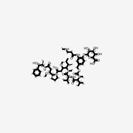 CC[C@@H](C)C(C(CC(=O)N1CCC[C@H]1[C@H](OC)[C@@H](C)C(=O)N[C@H](C)[C@@H](O)c1ccccc1)OC)N(C)C(=O)[C@@H](NC(=O)C(C(C)C)N(C)C(=O)OCc1ccc(OC2OC(C(=O)O)C(O)[C@H](O)[C@@H]2O)c(NC(=O)CCNC)c1)C(C)C